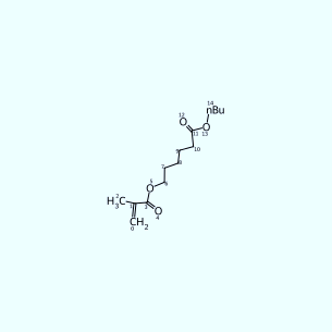 C=C(C)C(=O)OCCCCCC(=O)OCCCC